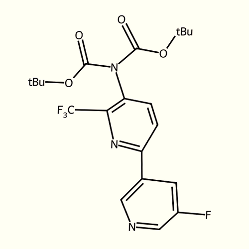 CC(C)(C)OC(=O)N(C(=O)OC(C)(C)C)c1ccc(-c2cncc(F)c2)nc1C(F)(F)F